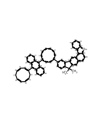 CC1(C)c2ccc(-c3ccccccc(-c4c5ccccc5c(/C5=C/C=C\C/C=C\C=C/C5)c5ccccc45)cc3)cc2-c2cc3c(ccc4oc5ccccc5c43)cc21